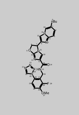 CCCCc1ccc2nc(C3COc4nc(C(=O)NCc5c(-n6cnnn6)ccc(OC)c5F)cn43)cn2c1